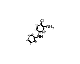 Nc1nc(Nc2[c]nccc2)ccc1Cl